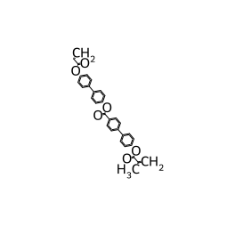 C=CC(=O)Oc1ccc(-c2ccc(OC(=O)c3ccc(-c4ccc(OC(=O)C(=C)C)cc4)cc3)cc2)cc1